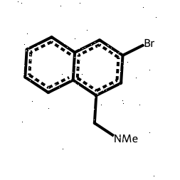 CNCc1cc(Br)cc2ccccc12